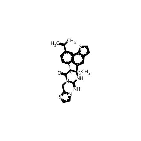 C=C(C)c1ccc([C@H]2C(=O)N(Cc3nccs3)C(=N)N[C@]2(C)c2ccc3sccc3c2)cc1